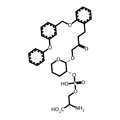 NC(COP(=O)(O)O[C@@H]1CCCO[C@@H]1OCC(=O)CCc1ccccc1OCc1cccc(Oc2ccccc2)c1)C(=O)O